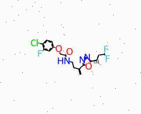 C=C(CCNC(=O)COc1ccc(Cl)c(F)c1)c1nnc([C@@H](C)CC(F)F)o1